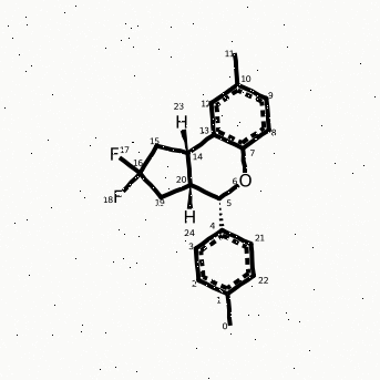 Cc1ccc([C@H]2Oc3ccc(C)cc3[C@H]3CC(F)(F)C[C@H]32)cc1